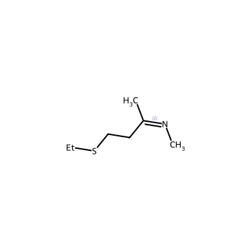 CCSCC/C(C)=N\C